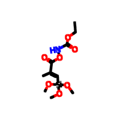 CCOC(=O)NOC(=O)C(C)=C[Si](OC)(OC)OC